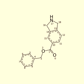 O=C(OCc1ccccc1)c1ccc2c(c1)CNC2